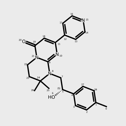 Cc1ccc([C@H](O)CN2c3nc(-c4ccncc4)cc(=O)n3CCC2(C)C)cc1